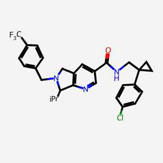 CC(C)C1c2ncc(C(=O)NCC3(c4ccc(Cl)cc4)CC3)cc2CN1Cc1ccc(C(F)(F)F)cc1